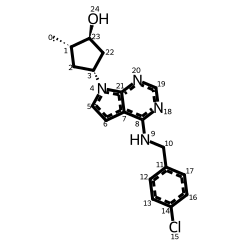 [CH2][C@H]1C[C@@H](n2ccc3c(NCc4ccc(Cl)cc4)ncnc32)C[C@@H]1O